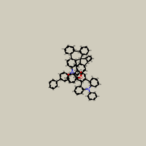 c1ccc(-c2ccc(N(c3ccc4c(c3)-c3ccccc3N(c3ccccc3)c3ccccc3-4)c3ccc4c(c3)C3(c5ccccc5-c5ccccc5-4)c4ccccc4-c4cc5oc6ccccc6c5cc43)cc2)cc1